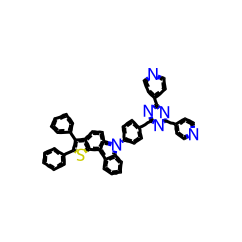 c1ccc(-c2sc3c(ccc4c3c3ccccc3n4-c3ccc(-c4nc(-c5ccncc5)nc(-c5ccncc5)n4)cc3)c2-c2ccccc2)cc1